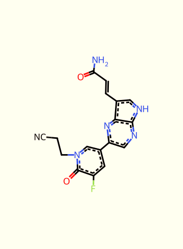 N#CCCn1cc(-c2cnc3[nH]cc(C=CC(N)=O)c3n2)cc(F)c1=O